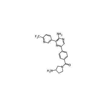 Nc1ncc(-c2ccc(C(=O)N3CCC(N)C3)cc2)nc1-c1ccc(C(F)(F)F)nc1